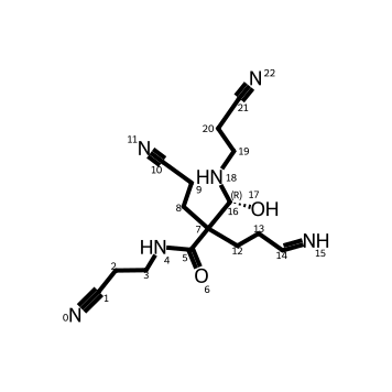 N#CCCNC(=O)C(CCC#N)(CCC=N)[C@@H](O)NCCC#N